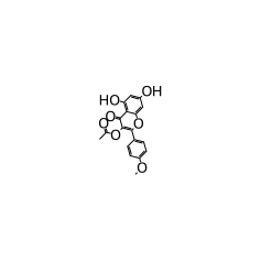 COc1ccc(-c2oc3cc(O)cc(O)c3c(=O)c2OC(C)=O)cc1